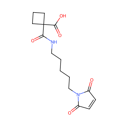 O=C1C=CC(=O)N1CCCCCNC(=O)C1(C(=O)O)CCC1